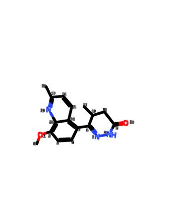 COc1ccc(C2=NNC(=O)CC2C)c2ccc(C)nc12